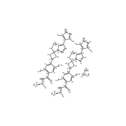 Cc1n[nH]c(C)c1-c1cnn(C2(CC#N)CN(c3cc(F)c(C(=O)N[C@@H](C)C(F)(F)F)cc3F)C2)c1.Cc1n[nH]c(C)c1-c1cnn(C2(CC#N)CN(c3cc(F)c(C(=O)N[C@@H](C)C(F)(F)F)cc3F)C2)c1.O=S(=O)(O)O